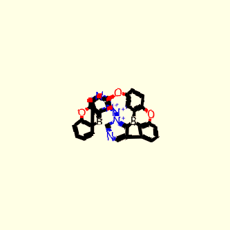 c1cc2c3c(c1)-c1cnc[n+]4c1B3c1c(ccc3c1[N+]41c4c(ccc5c4B4c6c(cccc6-c6cnc[n+]1c64)O5)O3)O2